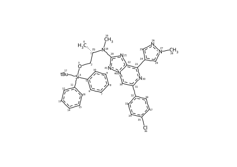 C[C@@H](CO[Si](c1ccccc1)(c1ccccc1)C(C)(C)C)N(C)c1nc2c(-c3cnn(C)c3)nc(-c3ccc(Cl)cc3)cn2n1